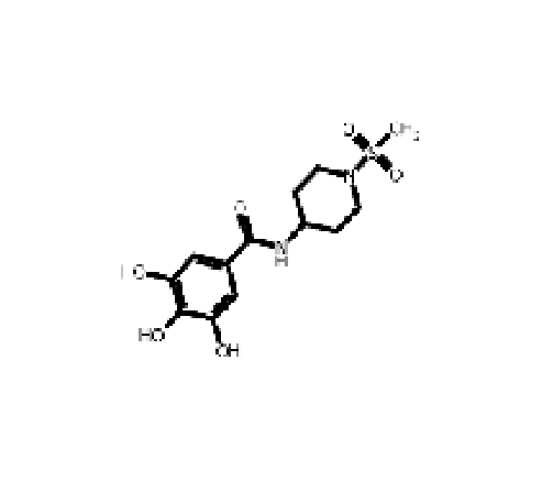 CS(=O)(=O)N1CCC(NC(=O)c2cc(O)c(O)c(O)c2)CC1